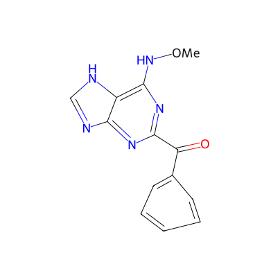 CONc1nc(C(=O)c2ccccc2)nc2nc[nH]c12